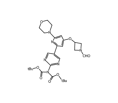 CC(C)(C)OC(=O)N(C(=O)OC(C)(C)C)c1ncc(-c2cc(OC3CN(C=O)C3)cc(N3CCOCC3)n2)cn1